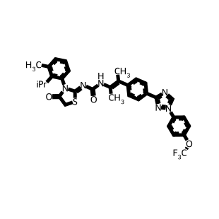 C/C(NC(=O)/N=C1\SCC(=O)N1c1cccc(C)c1C(C)C)=C(/C)c1ccc(-c2ncn(-c3ccc(OC(F)(F)F)cc3)n2)cc1